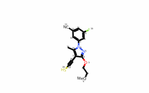 COCCOc1nn(-c2cc(F)cc(C#N)c2)c(C)c1C#CS